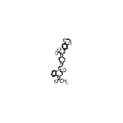 CC(=O)N1CC(=O)N(CCN2CCC(N(Cc3ccc4c(c3)OCCO4)C(=O)O)CC2)c2ccccc21